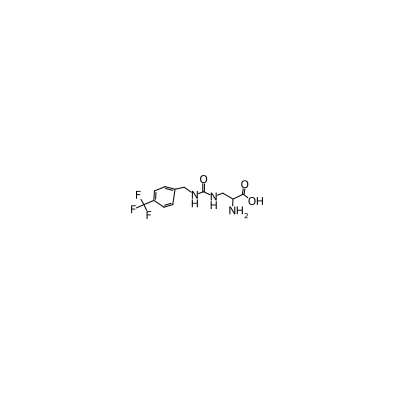 NC(CNC(=O)NCc1ccc(C(F)(F)F)cc1)C(=O)O